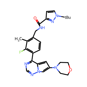 Cc1c(CNC(=O)c2ccn(C(C)(C)C)n2)ccc(-c2ncnn3cc(N4CCOCC4)cc23)c1F